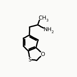 CC(N)Cc1ccc2c(c1)OCS2